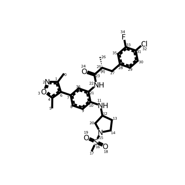 Cc1noc(C)c1-c1ccc(NC2CCN(S(C)(=O)=O)C2)c(NC(=O)[C@H](C)Cc2ccc(Cl)c(F)c2)c1